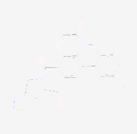 CO/N=C1\CC(CO)N(C(=O)c2ccc(-c3cccc(C#N)c3C)c3c2OCC(=O)N3C)C1